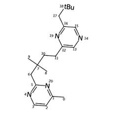 Cc1ccnc(CC(C)(C)CCc2cncc(CC(C)(C)C)n2)n1